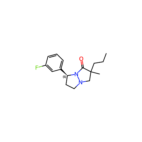 CCCC1(C)CN2CC[C@@H](c3cccc(F)c3)N2C1=O